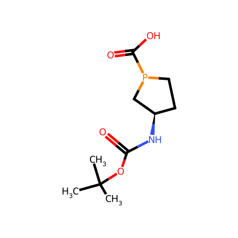 CC(C)(C)OC(=O)N[C@@H]1CCP(C(=O)O)C1